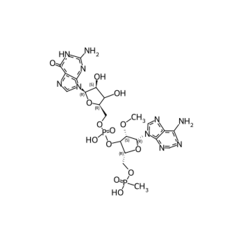 CO[C@H]1C(OP(=O)(O)OC[C@H]2O[C@@H](n3cnc4c(=O)[nH]c(N)nc43)[C@@H](O)C2O)[C@@H](COP(C)(=O)O)O[C@H]1n1cnc2c(N)ncnc21